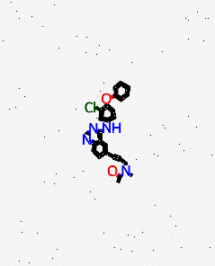 CC(=O)N(C)CC#Cc1ccc2ncnc(Nc3ccc(Oc4ccccc4)c(Cl)c3)c2c1